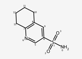 NS(=O)(=O)c1cnc2c(c1)CCCC2